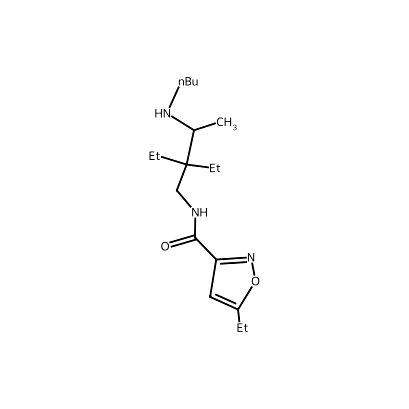 CCCCNC(C)C(CC)(CC)CNC(=O)c1cc(CC)on1